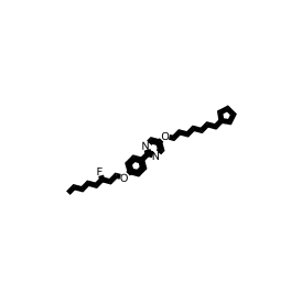 CCCCCC(F)CCOc1ccc(-c2ncc(OCCCCCCCC3CCCC3)cn2)cc1